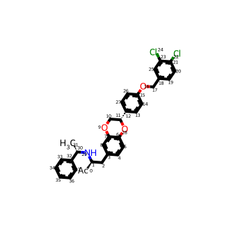 CC(=O)[C@H](Cc1ccc2c(c1)OC[C@H](c1ccc(OCc3ccc(Cl)c(Cl)c3)cc1)O2)N[C@@H](C)c1ccccc1